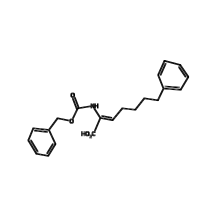 O=C(NC(=CCCCCc1ccccc1)C(=O)O)OCc1ccccc1